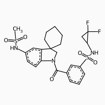 CS(=O)(=O)Nc1ccc2c(c1)C1(CCCCC1)CN2C(=O)c1cccc(S(=O)(=O)NC2CC2(F)F)c1